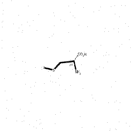 N[C@H](CSI)C(=O)O